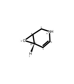 C1=C[C@@H]2OC2CN1